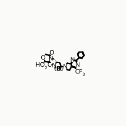 C[C@H]1CN(C[C@H](CC(=O)N2CCc3c(nc(-c4ccccc4)nc3C(F)(F)F)C2)N(C(=O)O)C(C)(C)C)C(=O)CO1